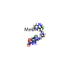 COc1ccc2ncc(F)c(CCN3CC[C@H](CNCc4nc5c(cc4Cl)OCC(=O)N5)C3)c2n1